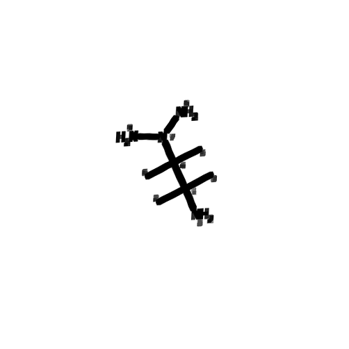 CC(C)(N)C(C)(C)N(N)N